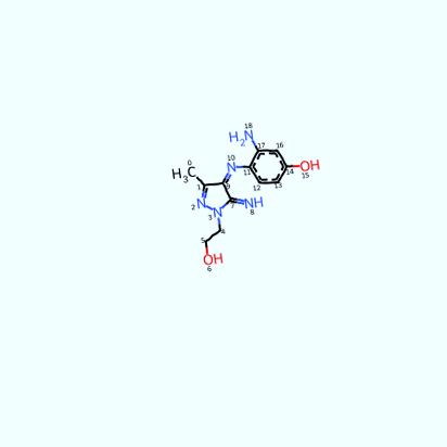 CC1=NN(CCO)C(=N)C1=Nc1ccc(O)cc1N